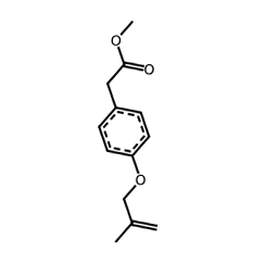 C=C(C)COc1ccc(CC(=O)OC)cc1